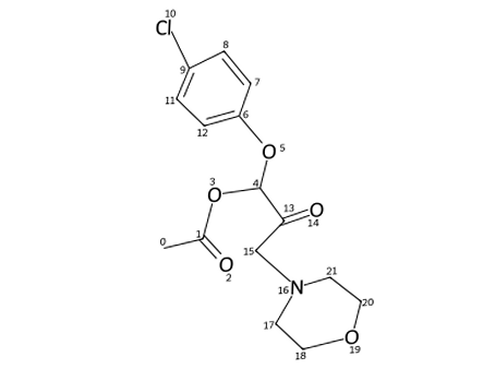 CC(=O)OC(Oc1ccc(Cl)cc1)C(=O)CN1CCOCC1